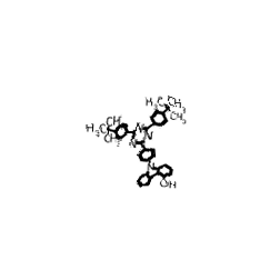 CC(C)(C)c1ccc(-c2nc(-c3ccc(-n4c5ccccc5c5c(O)cccc54)cc3)nc(-c3ccc(C(C)(C)C)cc3)n2)cc1